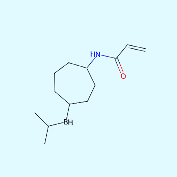 C=CC(=O)NC1CCCC(BC(C)C)CC1